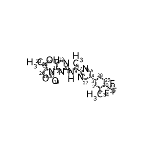 Cc1cc(-c2cnc([C@H](C)Nc3nccc(N4C(=O)OCC4[C@@H](C)O)n3)nc2)ccc1C(F)(F)F